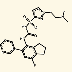 CN(C)CCn1ccc(S(=O)(=O)NC(=O)Nc2c(-c3cccnc3)cc(F)c3c2CCC3)n1